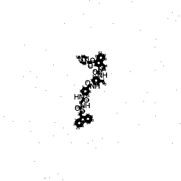 CCc1cc(NC(=O)c2ccc(NC(=O)CNC(=O)OCC3c4ccccc4-c4ccccc43)cc2)ccc1NC(=O)N1CCc2c1cc(OC(=O)N1CCN(C)CC1)c1ccccc21